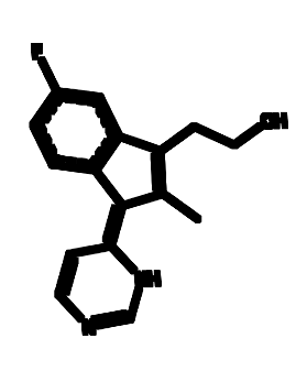 CC1=C(CCO)c2cc(F)ccc2C1=C1C=CN=CN1